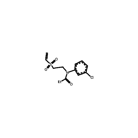 C=CS(=O)(=O)CCN(C(=O)CC)c1cccc(Cl)c1